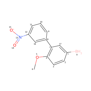 Bc1ccc(OC)c(-c2cccc([N+](=O)[O-])c2)c1